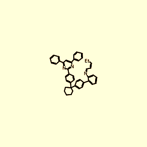 CC/C=C\C=N/c1ccccc1-c1ccc(C2(c3ccc(-c4nc(-c5ccccc5)cc(-c5ccccc5)n4)cc3)CCCCC2)cc1